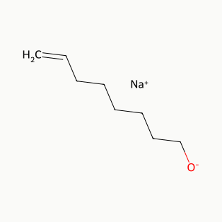 C=CCCCCCC[O-].[Na+]